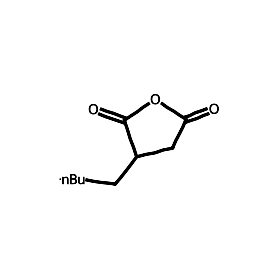 CCC[CH]CC1CC(=O)OC1=O